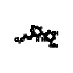 CCCC[C@@H](CO)NC(=O)[C@H](CC(C)C)NC(=O)OCC(Cl)(Cl)Cl